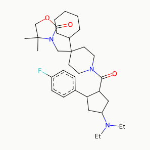 CCN(CC)C1CC(C(=O)N2CCC(CN3C(=O)OCC3(C)C)(C3CCCCC3)CC2)C(c2ccc(F)cc2)C1